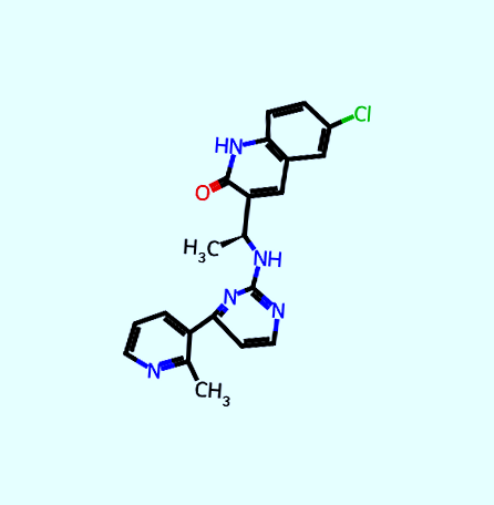 Cc1ncccc1-c1ccnc(N[C@@H](C)c2cc3cc(Cl)ccc3[nH]c2=O)n1